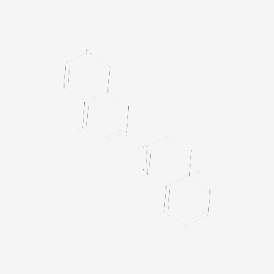 c1ccc2nc(-c3ccc4ccncc4c3)ccc2c1